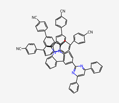 N#Cc1ccc(-c2ccc3c(c2)c2cc(-c4ccc(C#N)cc4)ccc2n3-c2ccccc2-c2cc(-c3nc(-c4ccccc4)cc(-c4ccccc4)n3)ccc2-n2c3ccc(-c4ccc(C#N)cc4)cc3c3cc(-c4ccc(C#N)cc4)ccc32)cc1